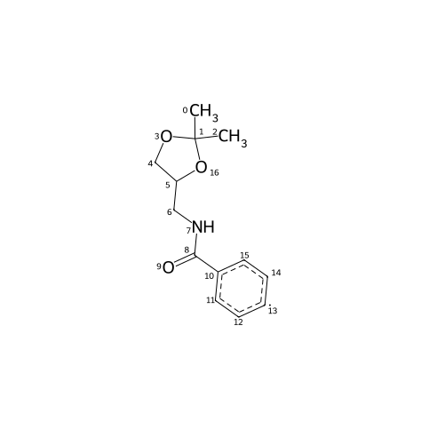 CC1(C)OCC(CNC(=O)c2cc[c]cc2)O1